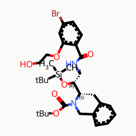 CC(C)(C)OC(=O)N1Cc2ccccc2C[C@H]1[C@@H](CNC(=O)c1ccc(Br)cc1OCCO)O[Si](C)(C)C(C)(C)C